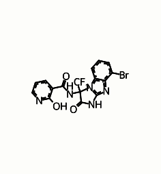 O=C(NC1(C(F)(F)F)C(=O)Nc2nc3c(Br)cccc3n21)c1cccnc1O